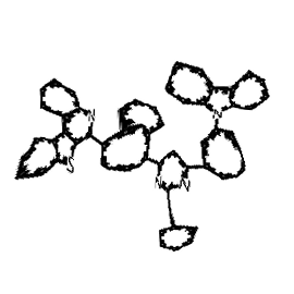 c1ccc(-c2nc(-c3cccc(-n4c5ccccc5c5ccccc54)c3)cc(-c3ccc(-c4nc5ccccc5c5c4sc4ccccc45)c4ccccc34)n2)cc1